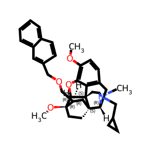 COc1ccc2c3c1O[C@H]1[C@@]4(OC)CC[C@@]5(C[C@@H]4COCc4ccc6ccccc6c4)[C@@H](C2)[N+](C)(CC2CC2)CC[C@]315